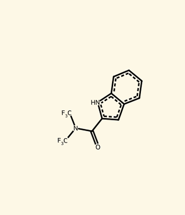 O=C(c1cc2ccccc2[nH]1)N(C(F)(F)F)C(F)(F)F